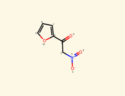 O=C(C[N+](=O)[O-])c1ccco1